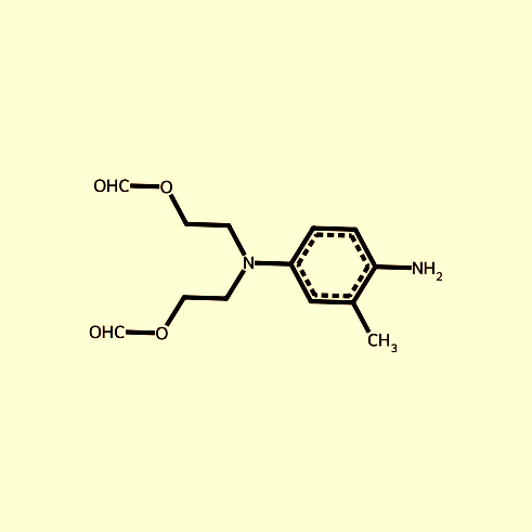 Cc1cc(N(CCOC=O)CCOC=O)ccc1N